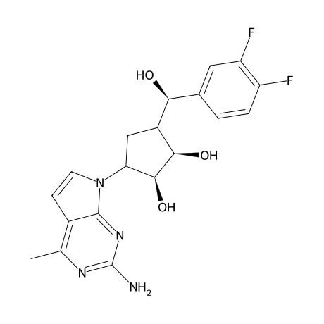 Cc1nc(N)nc2c1ccn2C1CC([C@@H](O)c2ccc(F)c(F)c2)[C@@H](O)[C@H]1O